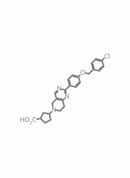 O=C(O)C1CCC(N2CCc3nc(-c4ccc(OCc5ccc(Cl)cc5)cc4)ncc3C2)C1